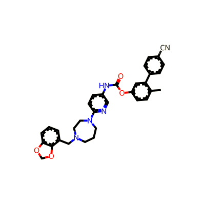 Cc1ccc(OC(=O)Nc2ccc(N3CCCN(Cc4cccc5c4OCO5)CC3)nc2)cc1-c1ccc(C#N)cc1